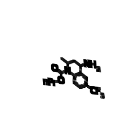 CCCOC(=O)N1c2ccc(C(F)(F)F)cc2C(N)CC1C